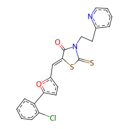 O=C1C(=Cc2ccc(-c3ccccc3Cl)o2)SC(=S)N1CCc1ccccn1